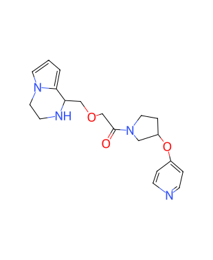 O=C(COCC1NCCn2cccc21)N1CCC(Oc2ccncc2)C1